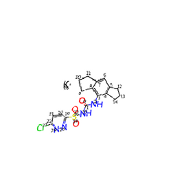 O=C(Nc1c2c(cc3c1CCC3)CCC2)NS(=O)(=O)c1ccc(Cl)nn1.[K]